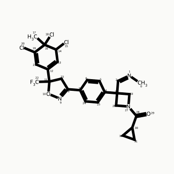 C/N=C\C1(c2ccc(C3=NOC(C4=CC(Cl)C(C)(Cl)C(Cl)=C4)(C(F)(F)F)C3)cc2)CN(C(=O)C2CC2)C1